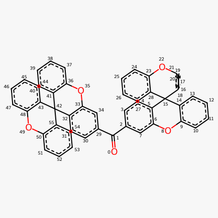 O=C(c1ccc2c(c1)Oc1ccccc1C21c2ccccc2Oc2ccccc21)c1ccc2c(c1)Oc1ccccc1C21c2ccccc2Oc2ccccc21